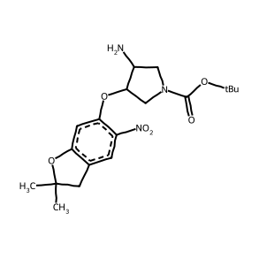 CC(C)(C)OC(=O)N1CC(N)C(Oc2cc3c(cc2[N+](=O)[O-])CC(C)(C)O3)C1